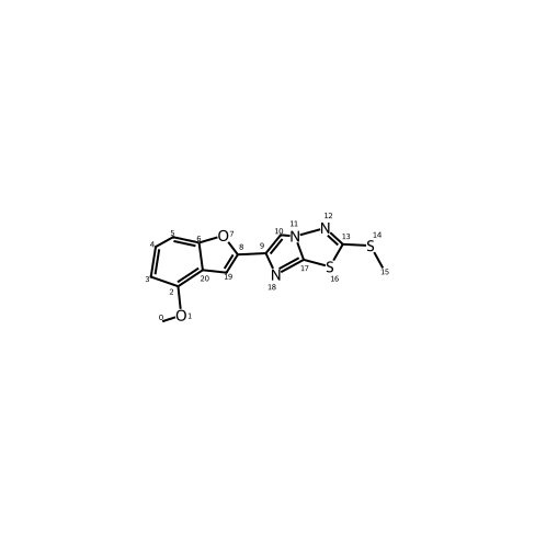 COc1cccc2oc(-c3cn4nc(SC)sc4n3)cc12